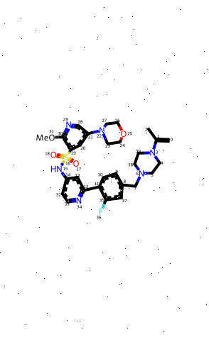 C=C(C)N1CCN(Cc2ccc(-c3cc(NS(=O)(=O)c4cc(N5CCOCC5)cnc4OC)ccn3)c(F)c2)CC1